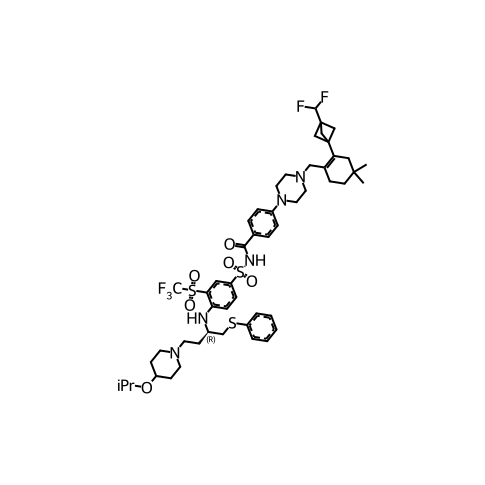 CC(C)OC1CCN(CC[C@H](CSc2ccccc2)Nc2ccc(S(=O)(=O)NC(=O)c3ccc(N4CCN(CC5=C(C67CC(C(F)F)(C6)C7)CC(C)(C)CC5)CC4)cc3)cc2S(=O)(=O)C(F)(F)F)CC1